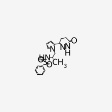 CC(Cn1cccc1C1=NNC(=O)CC1)NS(=O)(=O)c1ccccc1